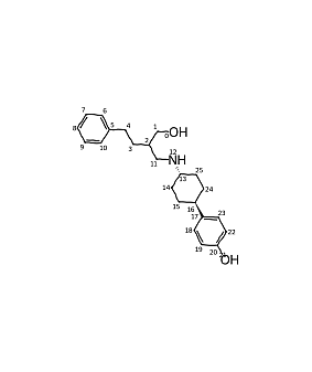 OCC(CCc1ccccc1)CN[C@H]1CC[C@H](c2ccc(O)cc2)CC1